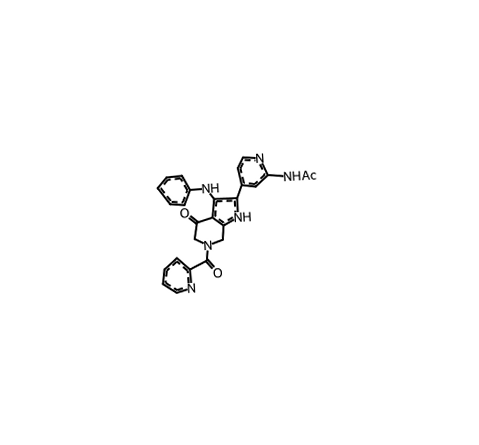 CC(=O)Nc1cc(-c2[nH]c3c(c2Nc2ccccc2)C(=O)CN(C(=O)c2ccccn2)C3)ccn1